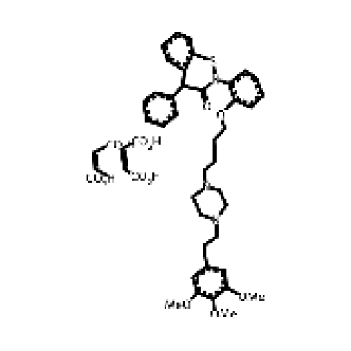 COc1cc(CCN2CCN(CCCCOc3ccccc3N3Sc4ccccc4C(c4ccccc4)C3=O)CC2)cc(OC)c1OC.O=C(O)/C=C\C(=O)O.O=C(O)/C=C\C(=O)O